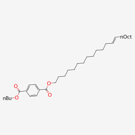 CCCCCCCCC=CCCCCCCCCCCCCOC(=O)c1ccc(C(=O)OCCCC)cc1